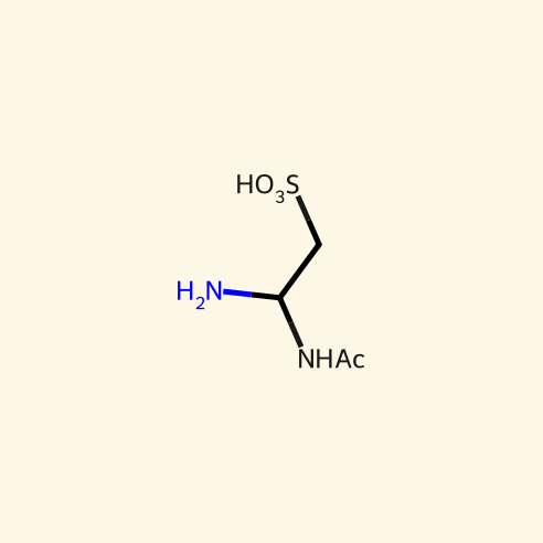 CC(=O)NC(N)CS(=O)(=O)O